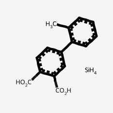 Cc1ccccc1-c1ccc(C(=O)O)c(C(=O)O)c1.[SiH4]